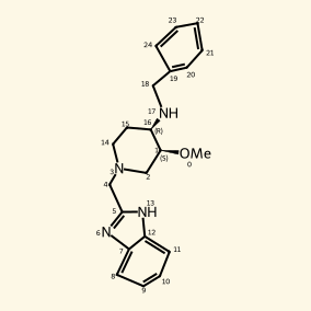 CO[C@H]1CN(Cc2nc3ccccc3[nH]2)CC[C@H]1NCc1ccccc1